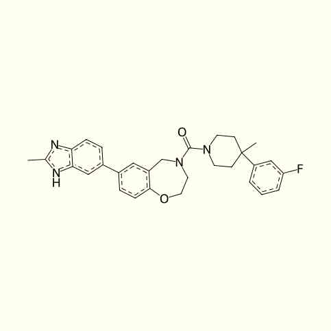 Cc1nc2ccc(-c3ccc4c(c3)CN(C(=O)N3CCC(C)(c5cccc(F)c5)CC3)CCO4)cc2[nH]1